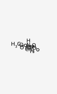 CCOC(=O)c1ccc(NC(=O)CNC(=O)OCc2ccccc2)c(OC)c1